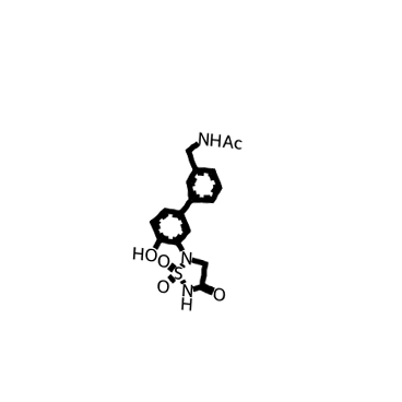 CC(=O)NCc1cccc(-c2ccc(O)c(N3CC(=O)NS3(=O)=O)c2)c1